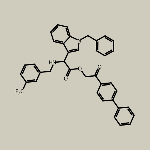 O=C(COC(=O)C(NCc1cccc(C(F)(F)F)c1)c1cn(Cc2ccccc2)c2ccccc12)c1ccc(-c2ccccc2)cc1